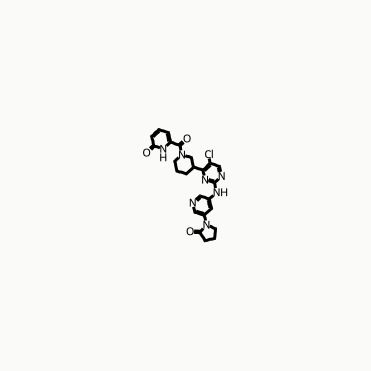 O=C(c1cccc(=O)[nH]1)N1CCCC(c2nc(Nc3cncc(N4CCCC4=O)c3)ncc2Cl)C1